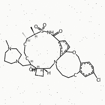 C[C@@H]1[C@@H](C)CCC[C@](O)(CN2CCCN(C)CC2)[C@@H]2CC[C@H]2CN2CCCCc3cc(Cl)ccc3COc3ccc(cc32)C(=O)NS1(=O)=O